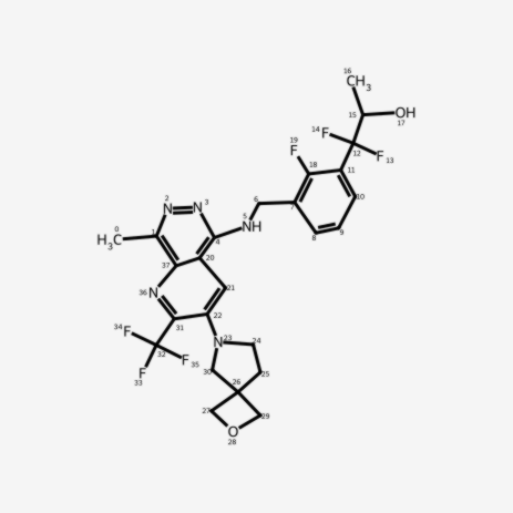 Cc1nnc(NCc2cccc(C(F)(F)C(C)O)c2F)c2cc(N3CCC4(COC4)C3)c(C(F)(F)F)nc12